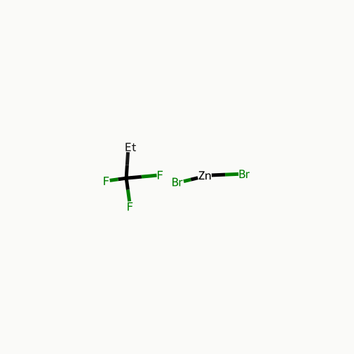 [Br][Zn][Br].[CH2]CC(F)(F)F